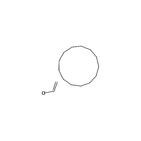 C1CCCCCCCCCCCC1.C=CCl